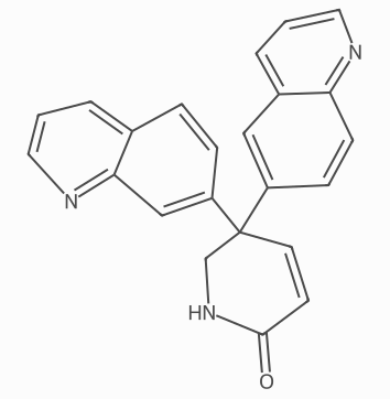 O=C1C=CC(c2ccc3ncccc3c2)(c2ccc3cccnc3c2)CN1